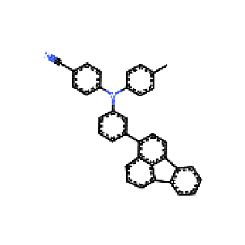 Cc1ccc(N(c2ccc(C#N)cc2)c2cccc(-c3ccc4c5c(cccc35)-c3ccccc3-4)c2)cc1